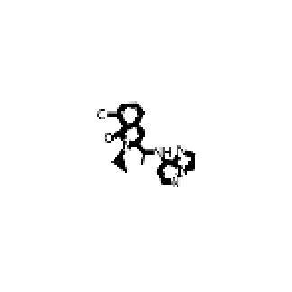 C[C@H](Nc1ccnn2ccnc12)c1cc2cccc(Cl)c2c(=O)n1C1CC1